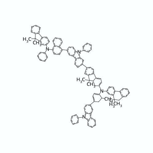 CC1CC(c2ccc3c(c2)c2ccccc2n3-c2ccccc2)=CC=C1N(C1=CC=C2c3ccc(-c4ccc5c6cc(-c7ccc(N(c8ccccc8)c8ccc9c(c8)C(C)(C)c8ccccc8-9)c8ccccc78)ccc6n(-c6ccccc6)c5c4)cc3C(C)(C)C2C1)c1ccc2c(c1)C(C)(C)Cc1ccccc1-2